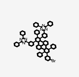 Brc1cccc(-c2cc(-c3ccccc3)c3c4cccc5c6c(-c7cccc(-c8nc(-c9ccccc9)nc(-c9ccccc9)n8)c7)c(-c7ccccc7)cc(-c7cccc(-c8nc(-c9ccccc9)nc(-c9ccccc9)n8)c7)c6c6cccc(c3c2-c2ccccc2)c6c45)c1